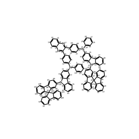 c1ccc(N(c2ccc(-c3nc4ccccc4nc3-c3ccc(N(c4ccccc4)c4ccc5c(c4)c4ccccc4n5-c4ccc5c(c4)C4(c6ccccc6-c6ccccc64)c4ccccc4-5)cc3)cc2)c2ccc3c(c2)c2ccccc2n3-c2ccc3c(c2)C2(c4ccccc4-c4ccccc42)c2ccccc2-3)cc1